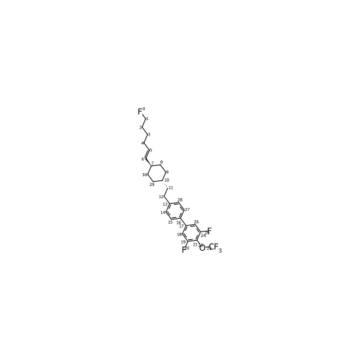 FCCCCC=C[C@H]1CC[C@H](CCc2ccc(-c3cc(F)c(OC(F)(F)F)c(F)c3)cc2)CC1